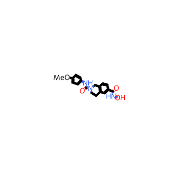 COc1ccc(NC(=O)N2CCc3cc(C(=O)NO)ccc3C2)cc1